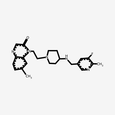 Cc1ccc2ncc(=O)n(CCN3CCC(NCc4cnc(C)c(F)c4)CC3)c2c1